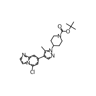 Cc1c(-c2cc(Cl)n3ccnc3c2)cnn1C1CCN(C(=O)OC(C)(C)C)CC1